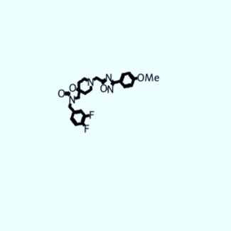 COc1ccc(-c2noc(CN3CCC4(CC3)CN(Cc3ccc(F)c(F)c3)C(=O)O4)n2)cc1